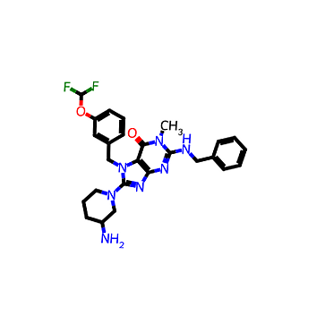 Cn1c(NCc2ccccc2)nc2nc(N3CCCC(N)C3)n(Cc3cccc(OC(F)F)c3)c2c1=O